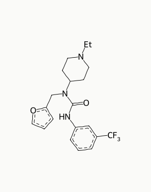 CCN1CCC(N(Cc2ccco2)C(=O)Nc2cccc(C(F)(F)F)c2)CC1